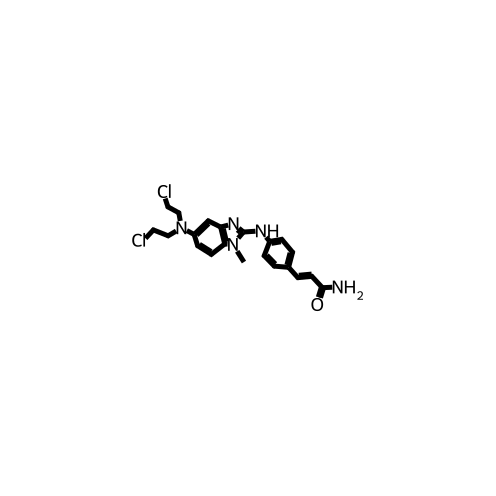 Cn1c(Nc2ccc(/C=C/C(N)=O)cc2)nc2cc(N(CCCl)CCCl)ccc21